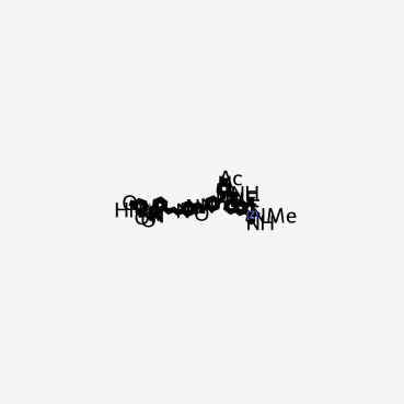 CN/C=C(\C=N)c1cc2c(cc1C(F)F)N(C(=N)C1CN(C(C)=O)CCC1NC1CCN(C(=O)CN3CCN(CCCc4cccc5c4n(C)c(=O)n5[C@H]4CCC(=O)NC4=O)CC3)CC1)CCC2